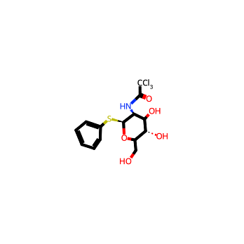 O=C(N[C@H]1C(O)[C@H](O)C(CO)O[C@H]1Sc1ccccc1)C(Cl)(Cl)Cl